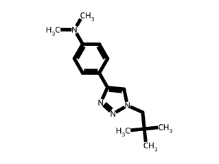 CN(C)c1ccc(-c2cn(CC(C)(C)C)nn2)cc1